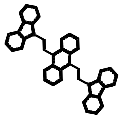 C(=Cn1c2ccccc2c2ccccc21)c1c2ccccc2c(C=Cn2c3ccccc3c3ccccc32)c2ccccc12